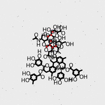 CC(=O)NC1COC(CO)[C@@H](O)C1O[C@@H]1OC(C(=O)NCC(c2c(O)cc(C)c3c2O[C@H](c2cc(O)c(O)c(O)c2)[C@H](OC(=O)c2cc(C)c(O)c(O)c2)C3)c2c(O)cc(C)c3c2O[C@H](c2cc(O)c(O)c(O)c2)[C@H](OC(=O)c2cc(C)c(O)c(O)c2)C3)[C@@H](O[C@H](C)[C@@H]2OC(CO)[C@@H](O)C(O[C@@H]3OC(C(=O)O)[C@@H](O)C(O)C3O)C2NC(C)=O)C(O)C1O